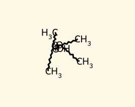 CCCCCCCCCCC(CCCCCCC)OP(=O)(O)OC(CCCCCCC)CCCCCCCCCC